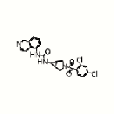 O=C(Nc1cccc2cnccc12)NC1C2CN(S(=O)(=O)c3ccc(Cl)cc3Cl)CC21